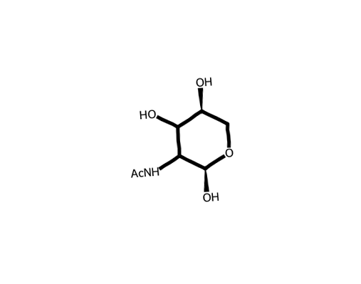 CC(=O)NC1C(O)[C@@H](O)CO[C@H]1O